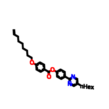 C=CCCCCCCCOc1ccc(C(=O)Oc2ccc(-c3ncc(CCCCCC)cn3)cc2)cc1